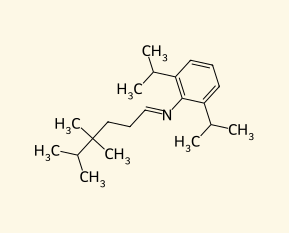 CC(C)c1cccc(C(C)C)c1/N=C/CCC(C)(C)C(C)C